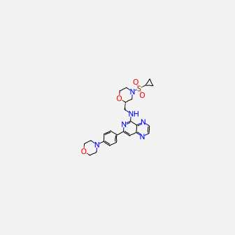 O=S(=O)(C1CC1)N1CCO[C@H](CNc2nc(-c3ccc(N4CCOCC4)cc3)cc3nccnc23)C1